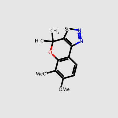 COc1ccc2c(c1OC)OC(C)(C)c1[se]nnc1-2